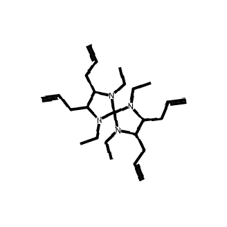 C=CCC1C(CC=C)N(CC)C2(N1CC)N(CC)C(CC=C)C(CC=C)N2CC